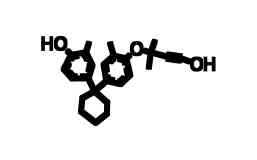 Cc1cc(C2(c3ccc(OC(C)(C)C#CO)c(C)c3)CCCCC2)ccc1O